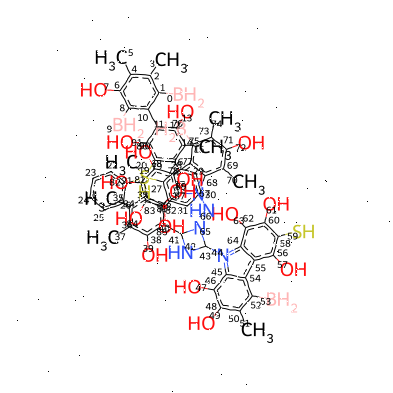 Bc1c(C)c(C)c(O)c(B)c1-c1c(O)c(C)c(O)c([SH](C)(c2ccccc2)(c2ccccc2)c2c(C)c(C)c(O)c(C3NC(n4c5c(O)c(O)c(C)c(B)c5c5c(O)c(S)c(O)c(O)c54)N3Nn3c4c(C)c(O)c(C)c(B)c4c4c(O)c(O)c(O)c(O)c43)c2O)c1O